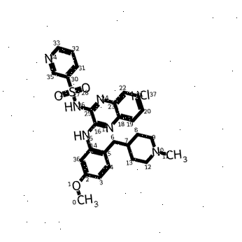 COc1ccc(CC2CCN(C)CC2)c(Nc2nc3ccccc3nc2NS(=O)(=O)c2cccnc2)c1.Cl